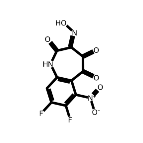 O=C1Nc2cc(F)c(F)c([N+](=O)[O-])c2C(=O)C(=O)/C1=N/O